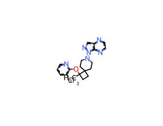 CC1(Oc2ncccc2C(F)(F)F)CCC12CCN(n1ncc3nccnc31)CC2